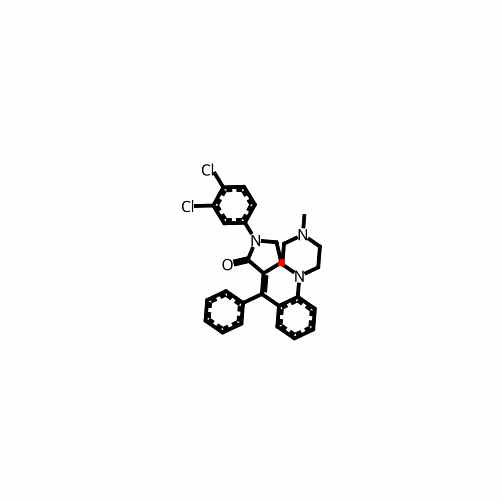 CN1CCN(c2ccccc2/C(=C2\CCN(c3ccc(Cl)c(Cl)c3)C2=O)c2ccccc2)CC1